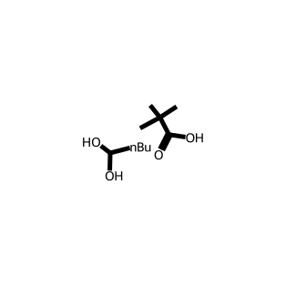 CC(C)(C)C(=O)O.CCCCC(O)O